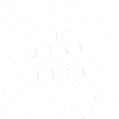 CN1c2ccccc2Nc2ccccc21.c1ccc2c(c1)Nc1ccccc1N2